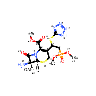 CCOP(=O)(CC(Sc1nnn[nH]1)C1=C(C(=O)OC(C)(C)C)N2C(=O)[C@](N)(OC)[C@@H]2SC1)OC(C)(C)C